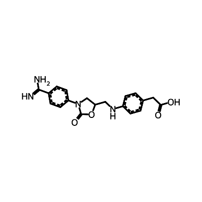 N=C(N)c1ccc(N2CC(CNc3ccc(CC(=O)O)cc3)OC2=O)cc1